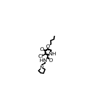 CCCCOc1c[nH]c(C(=O)NCCN2CCCC2)c(Cl)c1=O